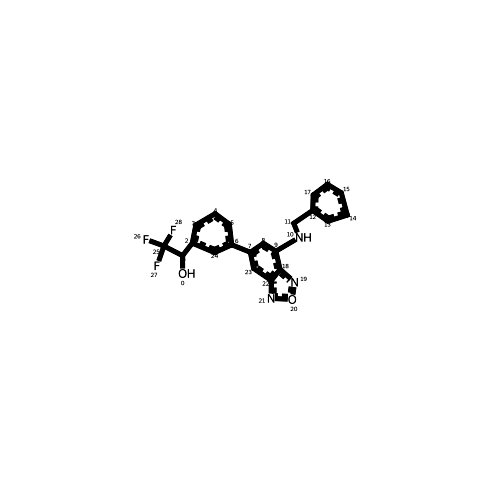 OC(c1cccc(-c2cc(NCc3ccccc3)c3nonc3c2)c1)C(F)(F)F